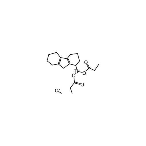 CCC(=O)[O][Ti+]([O]C(=O)CC)[CH]1CCCC2=C1CC1=C2CCCC1.C[O-]